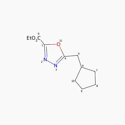 CCOC(=O)c1nnc(CC2CCCC2)o1